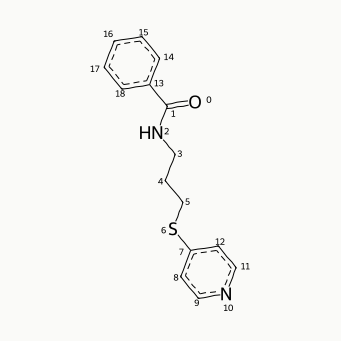 O=C(NCCCSc1ccncc1)c1ccccc1